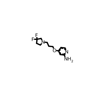 Nc1cc(OCCCN2CCC(F)(F)C2)ccn1